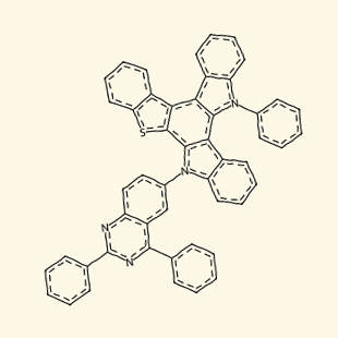 c1ccc(-c2nc(-c3ccccc3)c3cc(-n4c5ccccc5c5c4c4sc6ccccc6c4c4c6ccccc6n(-c6ccccc6)c45)ccc3n2)cc1